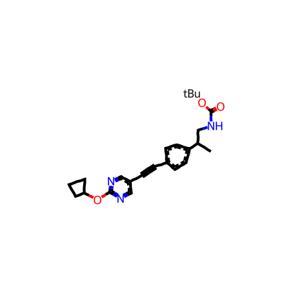 CC(CNC(=O)OC(C)(C)C)c1ccc(C#Cc2cnc(OC3CCC3)nc2)cc1